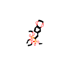 CCOP(=O)(OCC)C(=Cc1ccc2c(c1)OCCO2)P(=O)(OCC)OCC